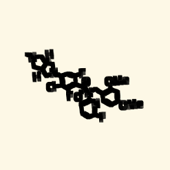 COc1ccc(CN(c2cccc(F)n2)S(=O)(=O)c2c(F)cc(N3C[C@H]4CN(C)C[C@@H]4C3)c(Cl)c2F)c(OC)c1